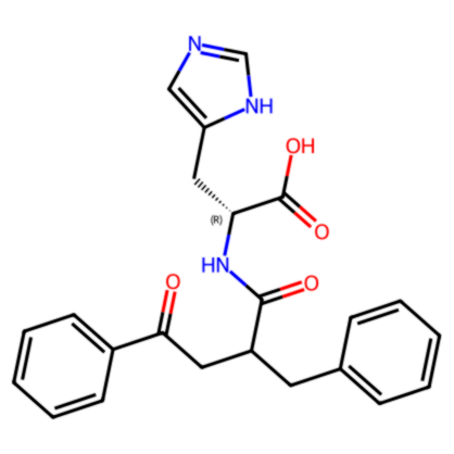 O=C(CC(Cc1ccccc1)C(=O)N[C@H](Cc1cnc[nH]1)C(=O)O)c1ccccc1